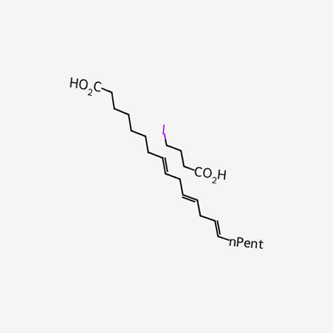 CCCCCC=CCC=CCC=CCCCCCCC(=O)O.O=C(O)CCCI